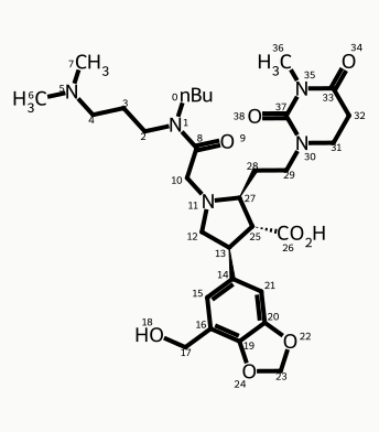 CCCCN(CCCN(C)C)C(=O)CN1C[C@H](c2cc(CO)c3c(c2)OCO3)[C@@H](C(=O)O)[C@@H]1CCN1CCC(=O)N(C)C1=O